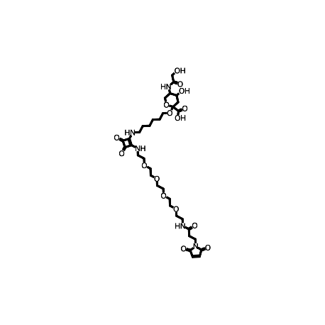 O=C(CCN1C(=O)C=CC1=O)NCCOCCOCCOCCOCCNc1c(NCCCCCCOC2(C(=O)O)CC(O)C(NC(=O)CO)CO2)c(=O)c1=O